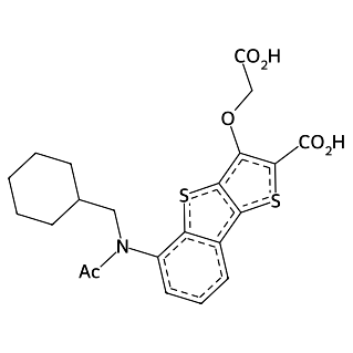 CC(=O)N(CC1CCCCC1)c1cccc2c1sc1c(OCC(=O)O)c(C(=O)O)sc12